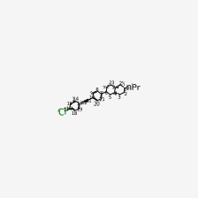 CCCC1CCC2CC(c3ccc(C#Cc4ccc(Cl)cc4)cc3)CCC2C1